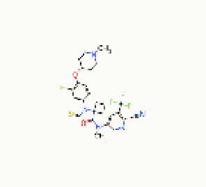 CN1CCC(Oc2ccc(N(C=S)C3(C(=O)N(C)c4cnc(C#N)c(C(F)(F)F)c4)CCC3)cc2F)CC1